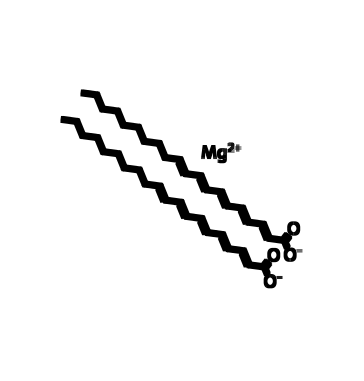 CCCCCCCCC/C=C/C=C/C=C/C=C/C=C/C(=O)[O-].CCCCCCCCC/C=C/C=C/C=C/C=C/C=C/C(=O)[O-].[Mg+2]